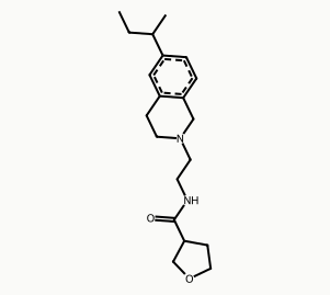 CCC(C)c1ccc2c(c1)CCN(CCNC(=O)C1CCOC1)C2